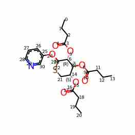 CCCC(=O)O[C@@H]1[C@@H](OC(=O)CCC)[C@H](OC(=O)CCC)CS[C@H]1Oc1cccnc1